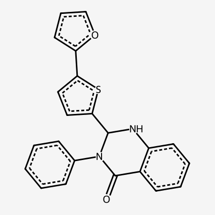 O=C1c2ccccc2NC(c2ccc(-c3ccco3)s2)N1c1ccccc1